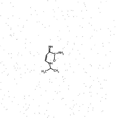 CC(C)N/C=C\C(=N)[S+](N)[O-]